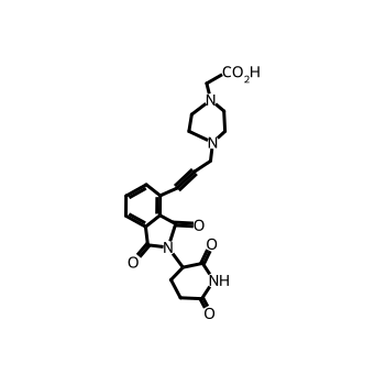 O=C(O)CN1CCN(CC#Cc2cccc3c2C(=O)N(C2CCC(=O)NC2=O)C3=O)CC1